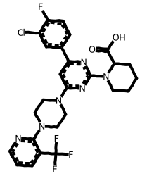 O=C(O)C1CCCCN1c1nc(-c2ccc(F)c(Cl)c2)cc(N2CCN(c3ncccc3C(F)(F)F)CC2)n1